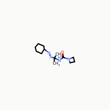 CC(C)(/N=N/C1CCCCC1)NC(=O)N1CCC1